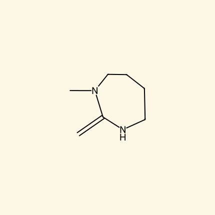 C=C1NCCCCN1C